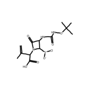 C=C(C)C(C(=O)O)N1C(=O)C(NC(=O)NOC(C)(C)C)C1[S+]([O-])Cl